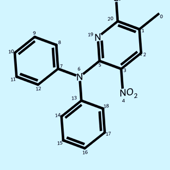 Cc1[c]c([N+](=O)[O-])c(N(c2ccccc2)c2ccccc2)nc1Cl